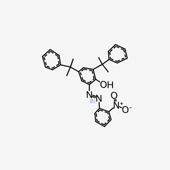 CC(C)(c1ccccc1)c1cc(/N=N/c2ccccc2[N+](=O)[O-])c(O)c(C(C)(C)c2ccccc2)c1